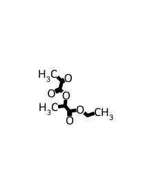 CCOC(=O)C(C)OC(=O)C(C)=O